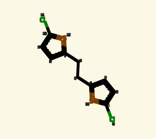 Clc1ccc(CCc2ccc(Cl)s2)s1